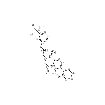 OC1CC(CNCc2cccc(C(F)(F)F)c2)C(O)c2ccc3c4c(ccc3c21)CCCC4